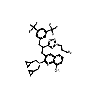 Cc1cccc2cc(CC(Cc3cc(C(F)(F)F)cc(C(F)(F)F)c3)c3nnn(CCN)n3)c(N(CC3CC3)CC3CC3)nc12